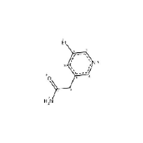 CCc1cncc(CC(N)=O)c1